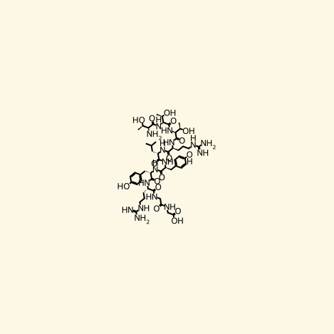 CC(C)C[C@H](NC(=O)[C@H](CCCNC(=N)N)NC(=O)[C@@H](NC(=O)[C@@H](NC(=O)[C@@H](N)[C@@H](C)O)[C@@H](C)O)[C@@H](C)O)C(=O)N[C@@H](Cc1ccc(O)cc1)C(=O)N[C@@H](Cc1ccc(O)cc1)C(=O)N[C@@H](CCCNC(=N)N)C(=O)NCC(=O)NCC(=O)O